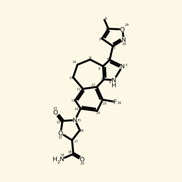 Cc1cc(-c2n[nH]c3c2CCCc2cc(N4CC(C(N)=O)OC4=O)cc(F)c2-3)no1